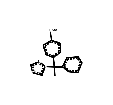 COc1ccc(C(C)(c2ccccc2)n2cncn2)cc1